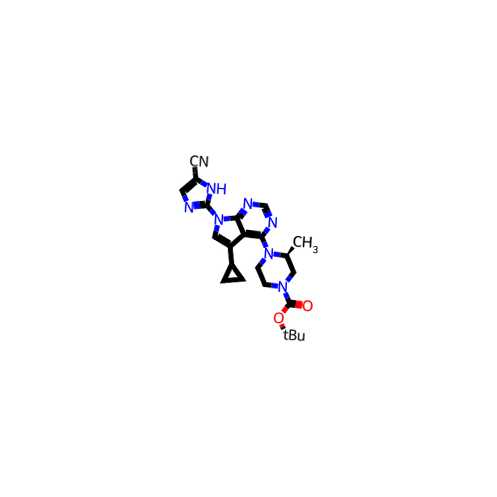 C[C@H]1CN(C(=O)OC(C)(C)C)CCN1c1ncnc2c1c(C1CC1)cn2-c1ncc(C#N)[nH]1